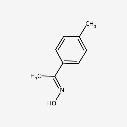 CC(=NO)c1ccc(C)cc1